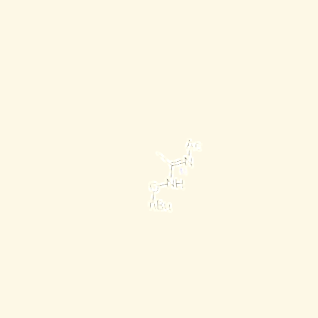 CCCCON/C(C)=N/C(C)=O